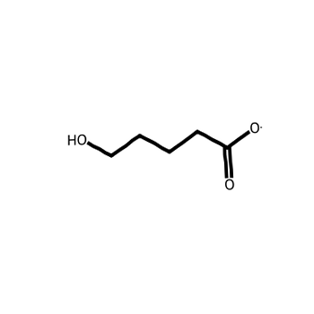 [O]C(=O)CCCCO